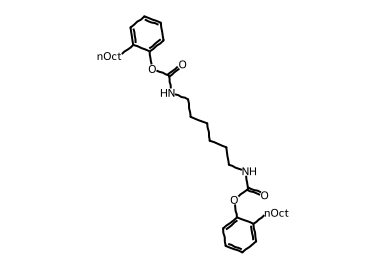 CCCCCCCCc1ccccc1OC(=O)NCCCCCCNC(=O)Oc1ccccc1CCCCCCCC